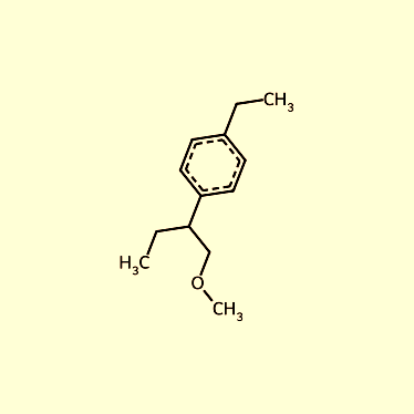 CCc1ccc(C(CC)COC)cc1